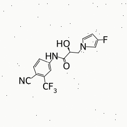 N#Cc1ccc(NC(=O)[C@@H](O)Cn2ccc(F)c2)cc1C(F)(F)F